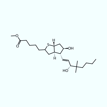 CCCCC(C)(C)[C@H](O)/C=C/[C@@H]1[C@H]2CC(CCCCC(=O)OC)S[C@@H]2C[C@H]1O